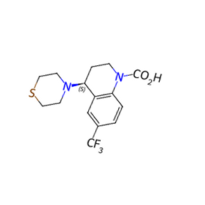 O=C(O)N1CC[C@H](N2CCSCC2)c2cc(C(F)(F)F)ccc21